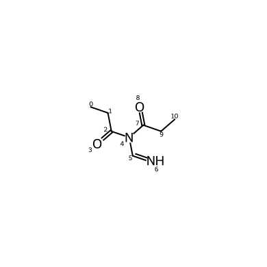 CCC(=O)N(C=N)C(=O)CC